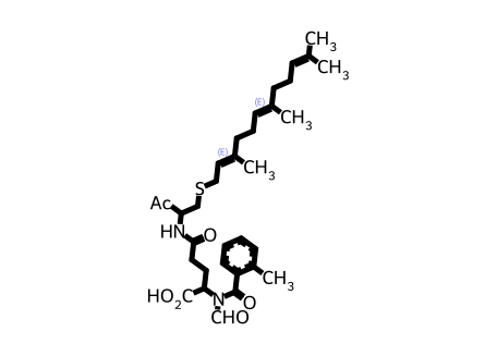 CC(=O)C(CSC/C=C(\C)CC/C=C(\C)CCC=C(C)C)NC(=O)CCC(C(=O)O)N(C=O)C(=O)c1ccccc1C